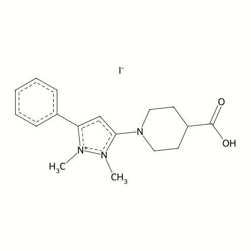 Cn1c(N2CCC(C(=O)O)CC2)cc(-c2ccccc2)[n+]1C.[I-]